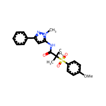 COc1ccc(S(=O)(=O)C(C)(C)C(=O)Nc2cc(-c3ccccc3)nn2C)cc1